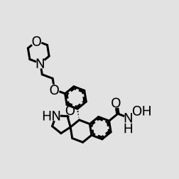 O=C(NO)c1ccc2c(c1)[C@@H](c1cccc(OCCN3CCOCC3)c1)C1(CCNC1=O)CC2